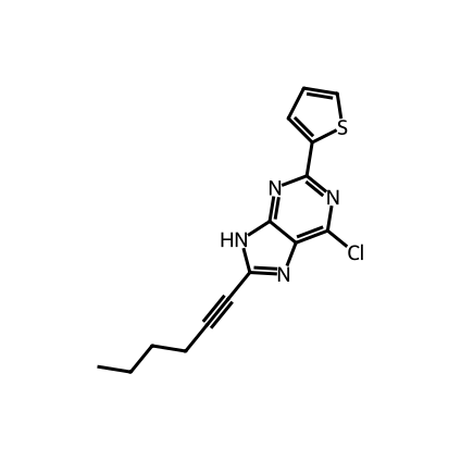 CCCCC#Cc1nc2c(Cl)nc(-c3cccs3)nc2[nH]1